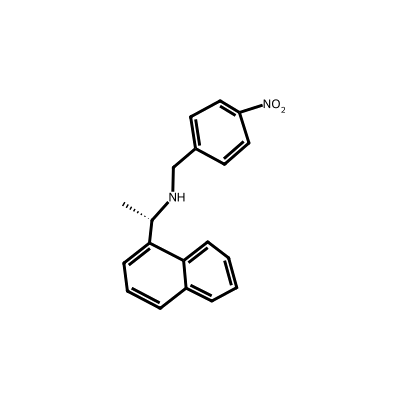 C[C@H](NCc1ccc([N+](=O)[O-])cc1)c1cccc2ccccc12